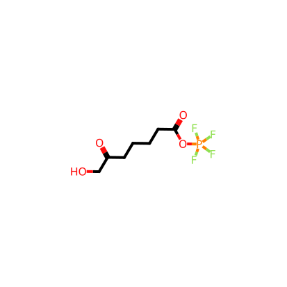 O=C(CO)CCCCC(=O)OP(F)(F)(F)F